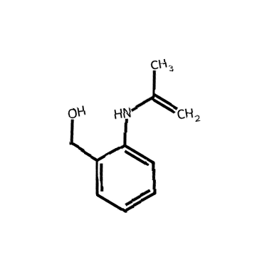 C=C(C)Nc1ccccc1CO